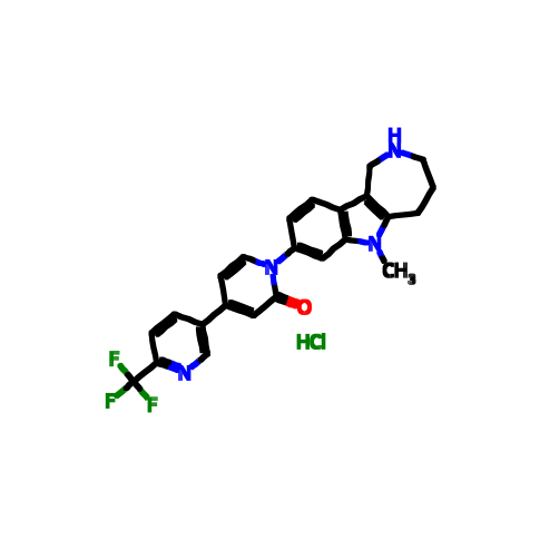 Cl.Cn1c2c(c3ccc(-n4ccc(-c5ccc(C(F)(F)F)nc5)cc4=O)cc31)CNCCC2